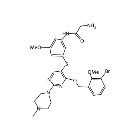 COc1cc(NC(=O)CN)cc(Sc2cnc(N3CCN(C)CC3)nc2OCc2cccc(Br)c2OC)c1